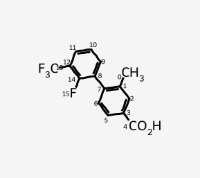 Cc1cc(C(=O)O)ccc1-c1cccc(C(F)(F)F)c1F